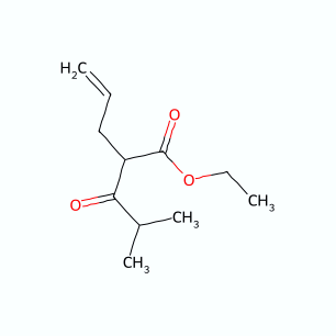 C=CCC(C(=O)OCC)C(=O)C(C)C